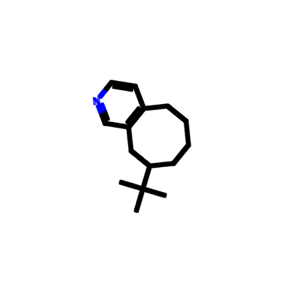 CC(C)(C)C1CCCCc2ccncc2C1